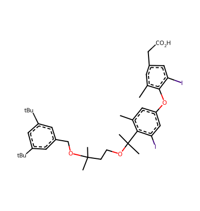 Cc1cc(CC(=O)O)cc(I)c1Oc1cc(C)c(C(C)(C)OCCC(C)(C)OCc2cc(C(C)(C)C)cc(C(C)(C)C)c2)c(I)c1